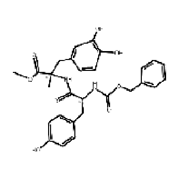 COC(=O)[C@](C)(Cc1ccc(O)c(O)c1)NC(=O)[C@H](Cc1ccc(O)cc1)NC(=O)OCc1ccccc1